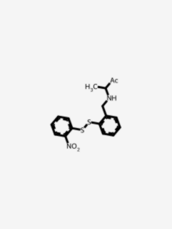 CC(=O)C(C)NCc1ccccc1SSc1ccccc1[N+](=O)[O-]